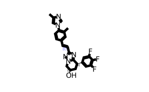 Cc1cn(-c2ccc(/C=C/c3nc4n(n3)C[C@@H](O)C[C@H]4c3cc(F)c(F)c(F)c3)cc2C)cn1